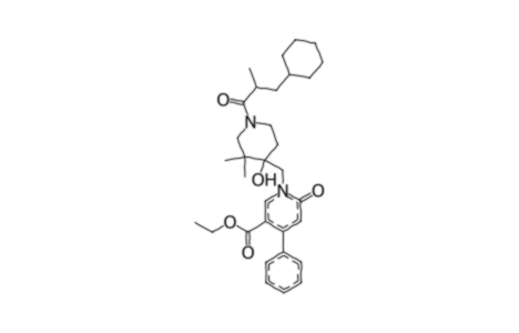 CCOC(=O)c1cn(CC2(O)CCN(C(=O)C(C)CC3CCCCC3)CC2(C)C)c(=O)cc1-c1ccccc1